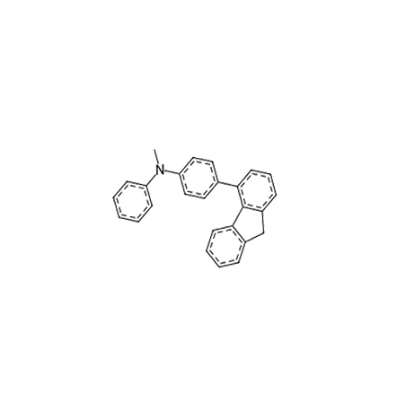 CN(c1ccccc1)c1ccc(-c2cccc3c2-c2ccccc2C3)cc1